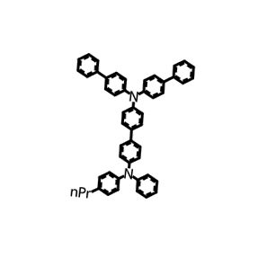 CCCc1ccc(N(c2ccccc2)c2ccc(-c3ccc(N(c4ccc(-c5ccccc5)cc4)c4ccc(-c5ccccc5)cc4)cc3)cc2)cc1